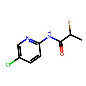 CC(Br)C(=O)Nc1ccc(Cl)cn1